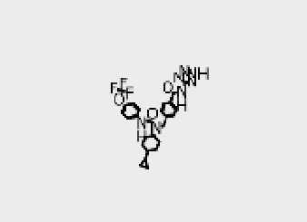 O=C(Nc1nn[nH]n1)c1ccc(CN(C(=O)Nc2ccc(OC(F)(F)F)cc2)C2CCC(C3CC3)CC2)cc1